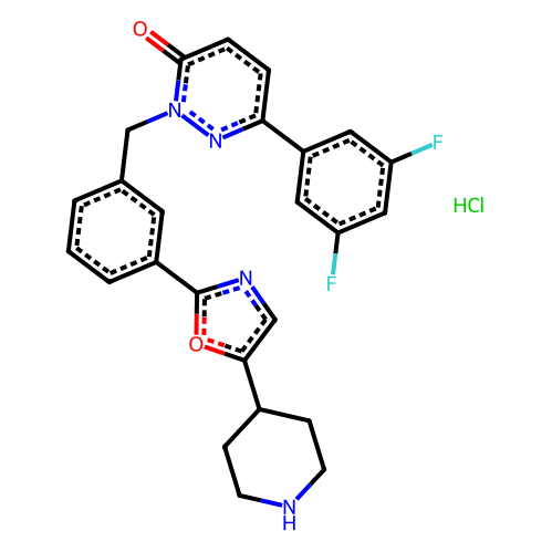 Cl.O=c1ccc(-c2cc(F)cc(F)c2)nn1Cc1cccc(-c2ncc(C3CCNCC3)o2)c1